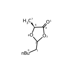 CCCCCC1OC(=O)[C@H](C)O1